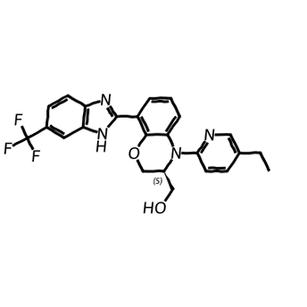 CCc1ccc(N2c3cccc(-c4nc5ccc(C(F)(F)F)cc5[nH]4)c3OC[C@@H]2CO)nc1